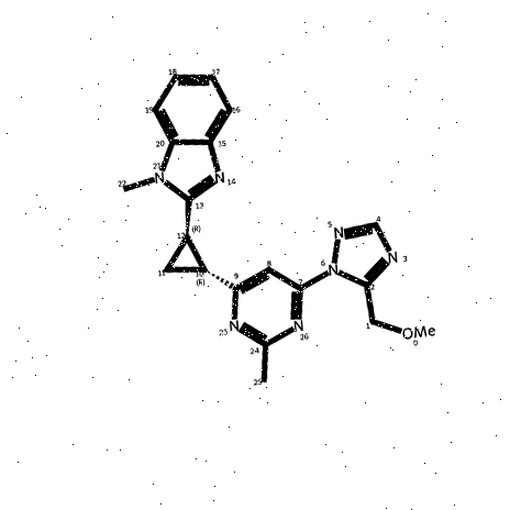 COCc1ncnn1-c1cc([C@@H]2C[C@H]2c2nc3ccccc3n2C)nc(C)n1